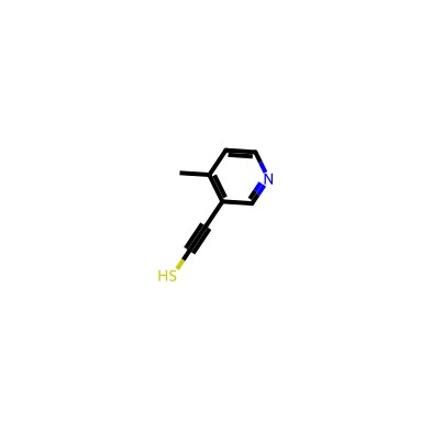 Cc1ccncc1C#CS